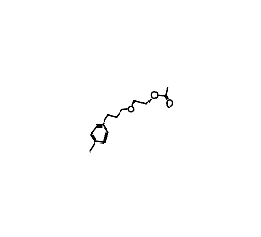 CC(=O)OCCOCCCc1ccc(C)cc1